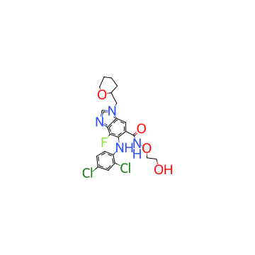 O=C(NOCCO)c1cc2c(ncn2CC2CCCCO2)c(F)c1Nc1ccc(Cl)cc1Cl